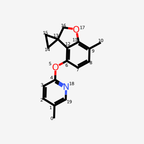 Cc1ccc(Oc2ccc(C)c3c2C2(CC2)CO3)nc1